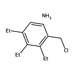 CCc1ccc(CCl)c(CC)c1CC.N